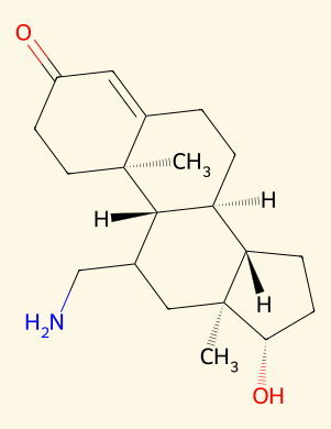 C[C@]12CC(CN)[C@H]3[C@@H](CCC4=CC(=O)CC[C@@]43C)[C@@H]1CC[C@@H]2O